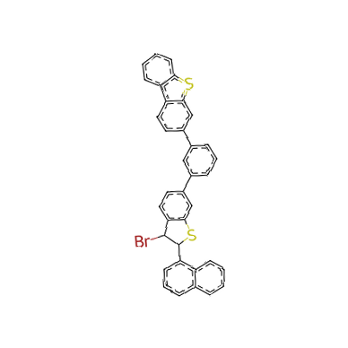 BrC1c2ccc(-c3cccc(-c4ccc5c(c4)sc4ccccc45)c3)cc2SC1c1cccc2ccccc12